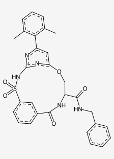 Cc1cccc(C)c1-c1cc2nc(n1)NS(=O)(=O)c1cccc(c1)C(=O)NC(C(=O)NCc1ccccc1)CO2